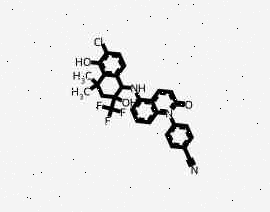 CC1(C)CC(O)(C(F)(F)F)C(Nc2cccc3c2ccc(=O)n3-c2ccc(C#N)cc2)c2ccc(Cl)c(O)c21